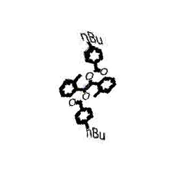 CCCCc1ccc(C(=O)O/C(=C(/OC(=O)c2ccc(CCCC)cc2)c2ccccc2C)c2ccccc2C)cc1